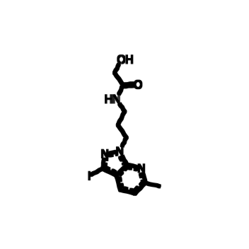 Cc1ccc2c(I)nn(CCCNC(=O)CO)c2n1